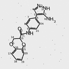 Nc1[nH]ncc1-c1ccc(NC(=O)C2COc3ccccc3O2)cc1